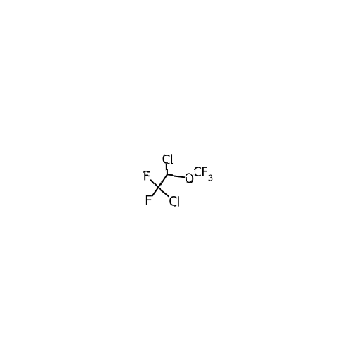 FC(F)(F)OC(Cl)C(F)(F)Cl